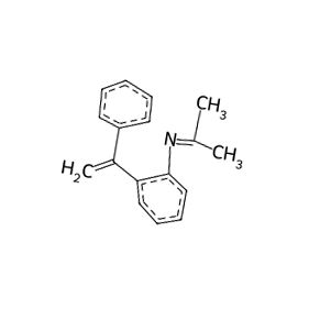 C=C(c1ccccc1)c1ccccc1N=C(C)C